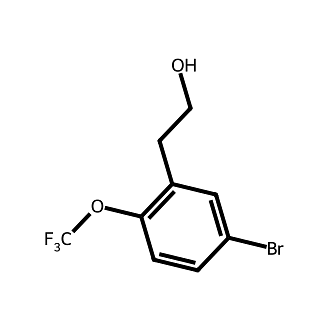 OCCc1cc(Br)ccc1OC(F)(F)F